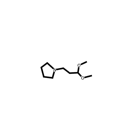 COC(CCN1CCCC1)OC